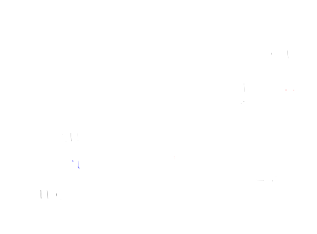 COC(OC)[SiH2]CCOCCN(C)C